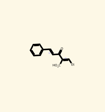 CC/C=C(\C(=O)O)C(=O)/C=C/c1ccccc1